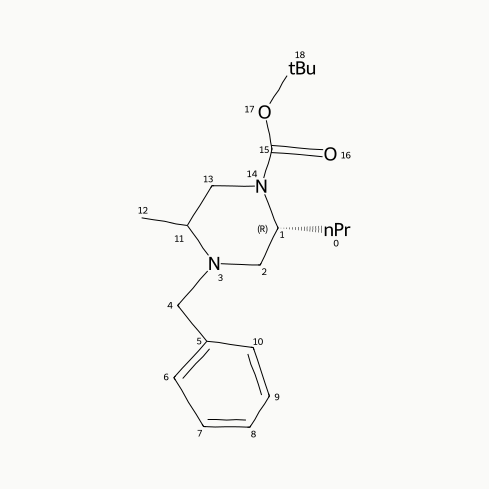 CCC[C@@H]1CN(Cc2ccccc2)C(C)CN1C(=O)OC(C)(C)C